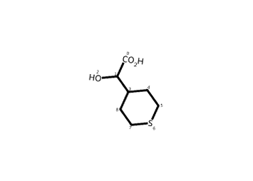 O=C(O)C(O)C1CCSCC1